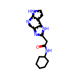 O=C(Cc1nc2cnc3[nH]ccc3c2[nH]1)NC1CCCCC1